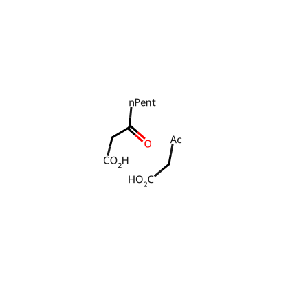 CC(=O)CC(=O)O.CCCCCC(=O)CC(=O)O